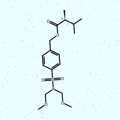 COCN(COC)S(=O)(=O)c1ccc(COC(=O)[C@@H](C)C(C)C)cc1